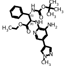 CCOC(=O)[C@H](Nc1ncc(-c2cnn(C)c2)cc1N)[C@@H](NC(=O)OC(C)(C)C)c1ccccc1